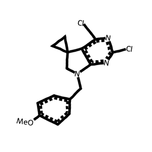 COc1ccc(CN2CC3(CC3)c3c(Cl)nc(Cl)nc32)cc1